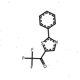 O=C(c1cnc(-c2ccccc2)s1)C(F)(F)F